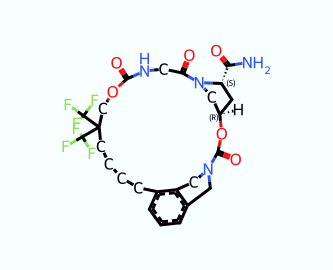 NC(=O)[C@@H]1C[C@@H]2CN1C(=O)CNC(=O)OCC(C(F)(F)F)(C(F)(F)F)CCCCc1cccc3c1CN(C3)C(=O)O2